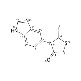 O=C1CSC(I)N1c1ccc2[nH]cnc2c1